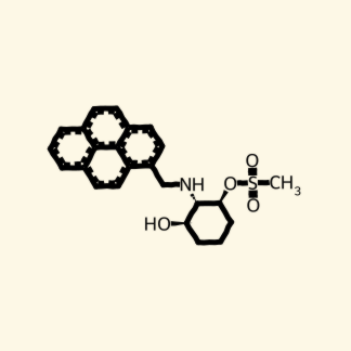 CS(=O)(=O)O[C@H]1CCC[C@@H](O)[C@@H]1NCc1ccc2ccc3cccc4ccc1c2c34